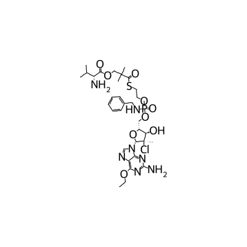 CCOc1nc(N)nc2c1ncn2[C@@H]1O[C@H](COP(=O)(NCc2ccccc2)OCCSC(=O)C(C)(C)COC(=O)[C@H](N)C(C)C)[C@@H](O)[C@@]1(C)Cl